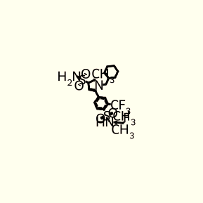 CC1C(S(N)(=O)=O)C=C(c2ccc(S(=O)(=O)NC(C)(C)CF)c(C(F)(F)F)c2)N1CC1CCCCC1